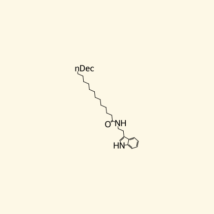 CCCCCCCCCCCCCCCCCCCCCCC(=O)NCCc1c[nH]c2ccccc12